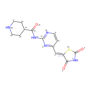 O=C1NC(=O)/C(=C/c2ccnc(NC(=O)C3CCNCC3)n2)S1